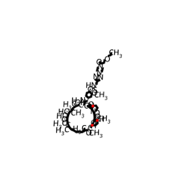 CCCOCCC(=O)N1CCN(c2ncc(CNC(=S)O[C@@H]3CC[C@@H](C[C@@H](N)[C@@H]4C[C@@H](O)[C@H](C)/C=C(\C)[C@@H](O)[C@@H](O)C(=O)[C@H](C)C[C@H](C)/C=C/C=C/C=C(\C)[C@@H](OC)C[C@@H]5CC[C@@H](C)[C@@](O)(O5)C(=O)C(=O)N5CCCC[C@H]5C(=O)O4)C[C@H]3OC)cn2)CC1